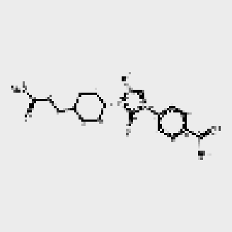 COC(=O)CC[C@H]1CC[C@H](n2ncn(-c3ccc(C(=N)N)cc3)c2=O)CC1.Cl